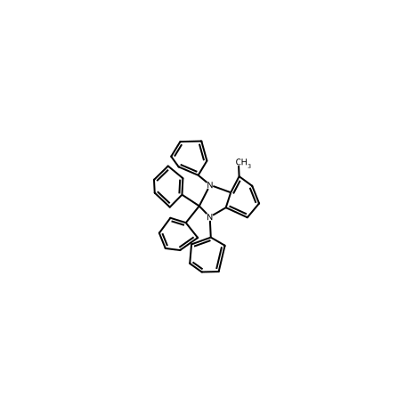 Cc1cccc2c1N(c1ccccc1)C(c1ccccc1)(c1ccccc1)N2c1ccccc1